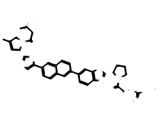 CC[C@H](C)[C@H](NC(=O)OC)C(=O)N1CCC[C@H]1c1nc2ccc(-c3ccc4cc(-c5cnc([C@@H]6C=C(C)CN6C(=O)[C@@H](C)[C@@H](C)OC)[nH]5)ccc4c3)cc2[nH]1